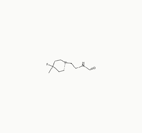 CC1(F)CCN(CCNC=O)CC1